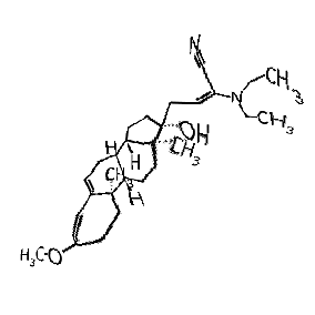 CCN(CC)/C(C#N)=C/C[C@]1(O)CC[C@H]2[C@@H]3CC=C4C=C(OC)CC[C@]4(C)[C@H]3CC[C@@]21C